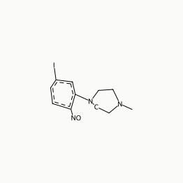 CN1CCN(c2cc(I)ccc2N=O)CC1